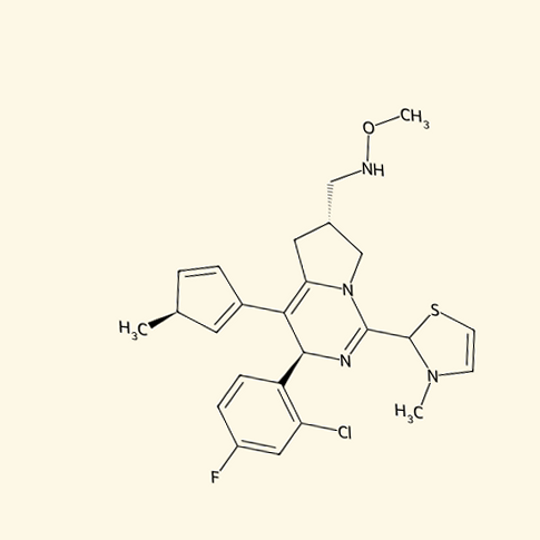 CONC[C@H]1CC2=C(C3=C[C@@H](C)C=C3)[C@H](c3ccc(F)cc3Cl)N=C(C3SC=CN3C)N2C1